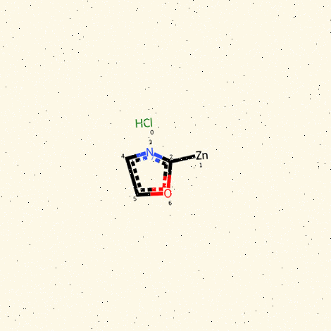 Cl.[Zn][c]1ncco1